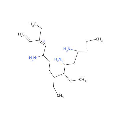 C=C/C(=C\C(N)CCC(CC)C(CC)C(N)CC(N)CCC)CC